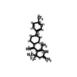 C=C1CC(C)(C(F)(F)F)C(C(=N)C2CCN(c3cnc(C(F)(F)F)cn3)CC2)=C(N)N1